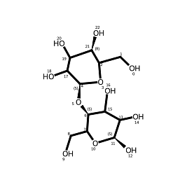 OCC1O[C@@H](O[C@@H]2C(CO)O[C@H](O)C(O)C2O)C(O)C(O)[C@H]1O